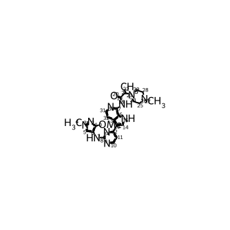 COc1nn(C)cc1Nc1nccc(-c2c[nH]c3c(NC(=O)C(C)N4CCN(C)CC4)nccc23)n1